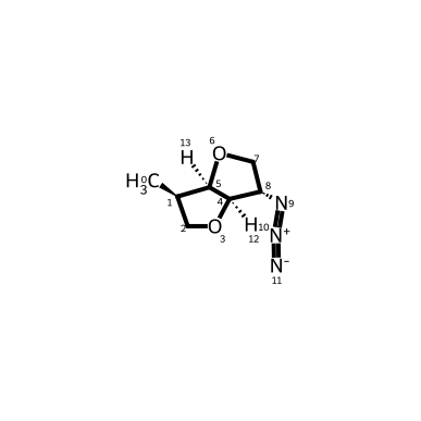 C[C@@H]1CO[C@H]2[C@@H]1OC[C@@H]2N=[N+]=[N-]